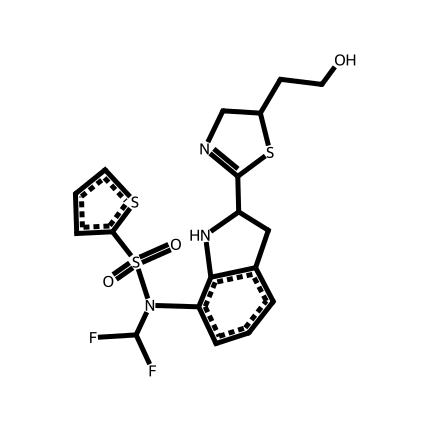 O=S(=O)(c1cccs1)N(c1cccc2c1NC(C1=NCC(CCO)S1)C2)C(F)F